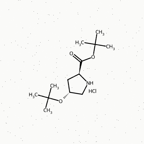 CC(C)(C)OC(=O)[C@@H]1C[C@@H](OC(C)(C)C)CN1.Cl